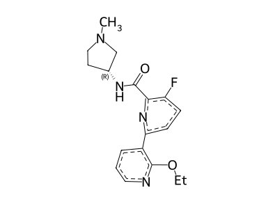 CCOc1ncccc1-c1ccc(F)c(C(=O)N[C@@H]2CCN(C)C2)n1